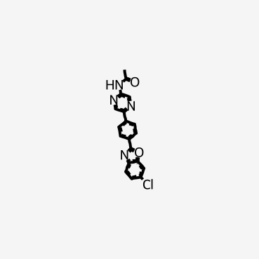 CC(=O)Nc1cnc(-c2ccc(-c3nc4ccc(Cl)cc4o3)cc2)cn1